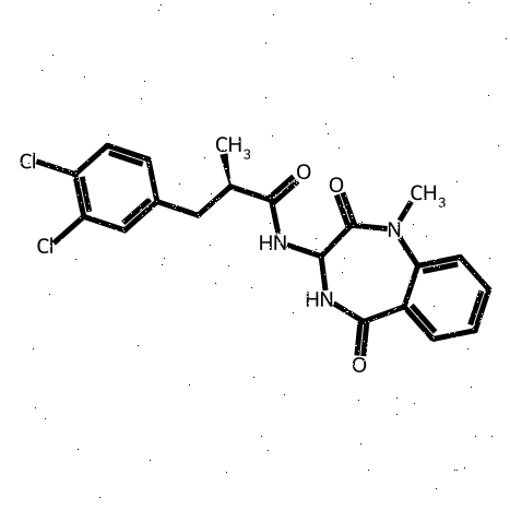 C[C@H](Cc1ccc(Cl)c(Cl)c1)C(=O)NC1NC(=O)c2ccccc2N(C)C1=O